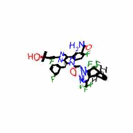 CC(C)(O)C#Cc1ncc(-c2ccc(F)c(C(N)=O)c2)c([C@H](Cc2cc(F)cc(F)c2)NC(=O)Cn2nc(C(F)(F)F)c3c2C(F)(F)[C@@H]2C#C[C@H]32)n1